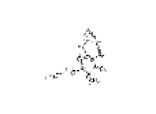 C=C(C(=O)OCC)C(=O)C1=CCC(C)C=C1